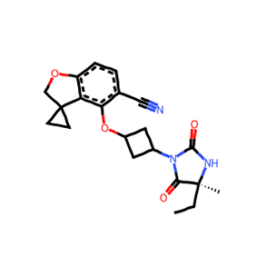 CC[C@]1(C)NC(=O)N(C2CC(Oc3c(C#N)ccc4c3C3(CC3)CO4)C2)C1=O